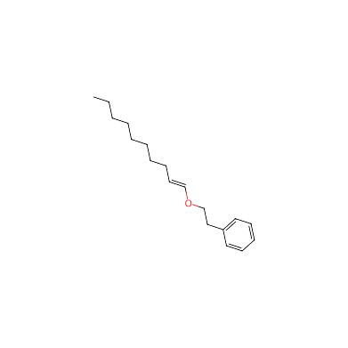 CCCCCCCCC=COCCc1ccccc1